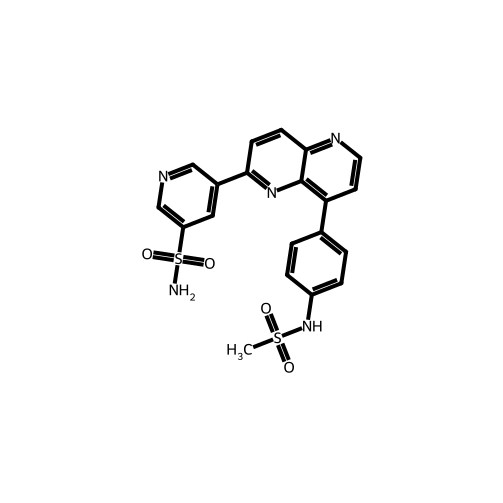 CS(=O)(=O)Nc1ccc(-c2ccnc3ccc(-c4cncc(S(N)(=O)=O)c4)nc23)cc1